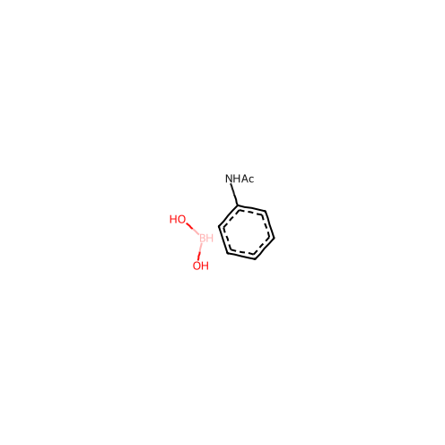 CC(=O)Nc1ccccc1.OBO